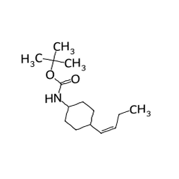 CC/C=C\C1CCC(NC(=O)OC(C)(C)C)CC1